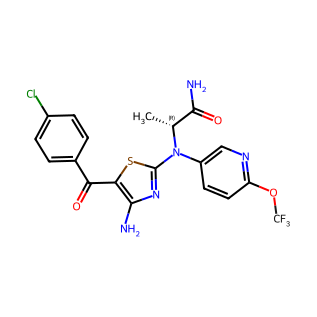 C[C@H](C(N)=O)N(c1ccc(OC(F)(F)F)nc1)c1nc(N)c(C(=O)c2ccc(Cl)cc2)s1